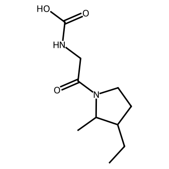 CCC1CCN(C(=O)CNC(=O)O)C1C